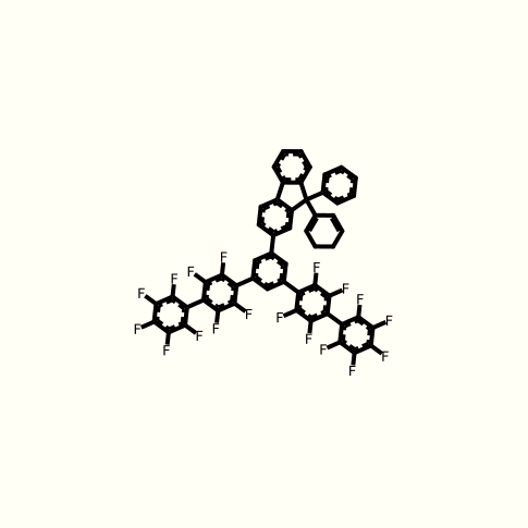 Fc1c(F)c(F)c(-c2c(F)c(F)c(-c3cc(-c4ccc5c(c4)C(C4=CCCC=C4)(c4ccccc4)c4ccccc4-5)cc(-c4c(F)c(F)c(-c5c(F)c(F)c(F)c(F)c5F)c(F)c4F)c3)c(F)c2F)c(F)c1F